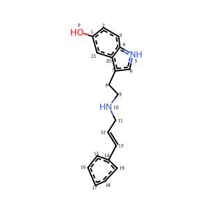 Oc1ccc2[nH]cc(CCNCC=Cc3ccccc3)c2c1